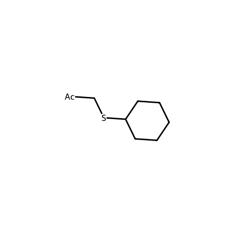 CC(=O)CSC1CCCCC1